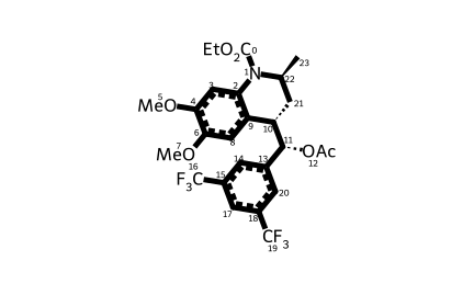 CCOC(=O)N1c2cc(OC)c(OC)cc2[C@@H]([C@H](OC(C)=O)c2cc(C(F)(F)F)cc(C(F)(F)F)c2)C[C@@H]1C